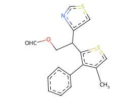 Cc1csc(C(COC=O)c2cscn2)c1-c1ccccc1